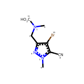 CN(Cc1nn(C)c(C#N)c1Br)C(=O)O